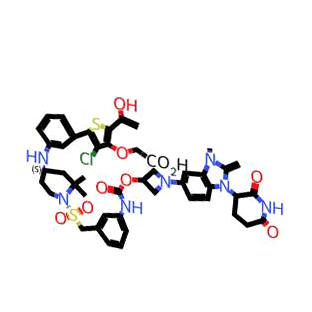 C=C(O)c1sc(-c2cccc(N[C@H]3CCN(S(=O)(=O)Cc4cccc(NC(=O)OC5CN(c6ccc7c(c6)N(C)C(=C)N7C6CCC(=O)NC6=O)C5)c4)C(C)(C)C3)c2)c(Cl)c1OCC(=O)O